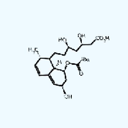 CC[C@H](C)C(=O)O[C@H]1C[C@@H](O)C=C2C=C[C@H](C)C(CC[C@@H](O)C[C@@H](O)CC(=O)O)[C@H]21